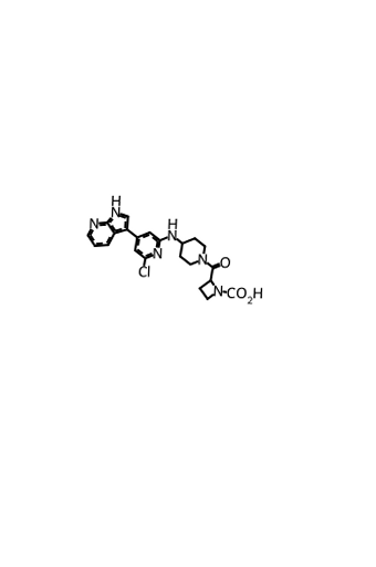 O=C(C1CCN1C(=O)O)N1CCC(Nc2cc(-c3c[nH]c4ncccc34)cc(Cl)n2)CC1